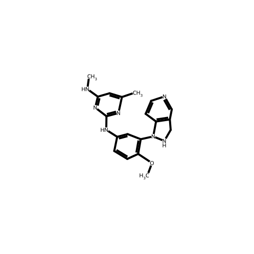 CNc1cc(C)nc(Nc2ccc(OC)c(N3NCc4cnccc43)c2)n1